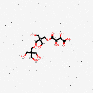 O=C(O)C(O)C(O)C(=O)OCC(CO)(CO)COCC(CO)(CO)CO